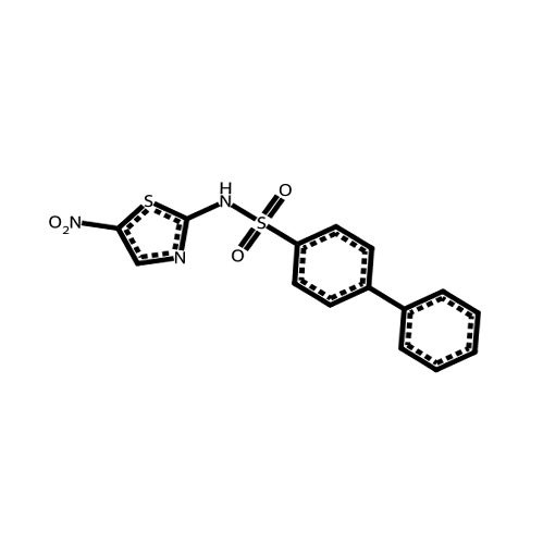 O=[N+]([O-])c1cnc(NS(=O)(=O)c2ccc(-c3ccccc3)cc2)s1